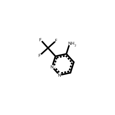 Nc1ccnnc1C(F)(F)F